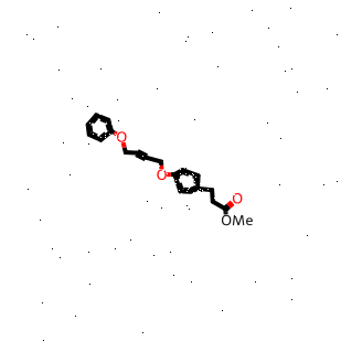 COC(=O)CCc1ccc(OCC#CCOc2ccccc2)cc1